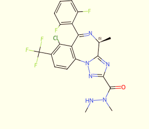 CNN(C)C(=O)c1nc2n(n1)-c1ccc(C(F)(F)F)c(Cl)c1C(c1c(F)cccc1F)=N[C@H]2C